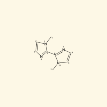 Cn1[c]cnc1-c1nccn1C